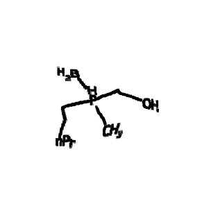 B[PH](C)(CO)CCCC